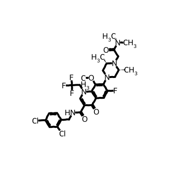 COc1c(N2C[C@@H](C)N(CC(=O)N(C)C)[C@@H](C)C2)c(F)cc2c(=O)c(C(=O)NCc3ccc(Cl)cc3Cl)cn(CC(F)(F)F)c12